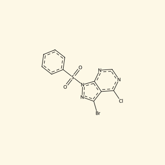 O=S(=O)(c1ccccc1)n1nc(Br)c2c(Cl)ncnc21